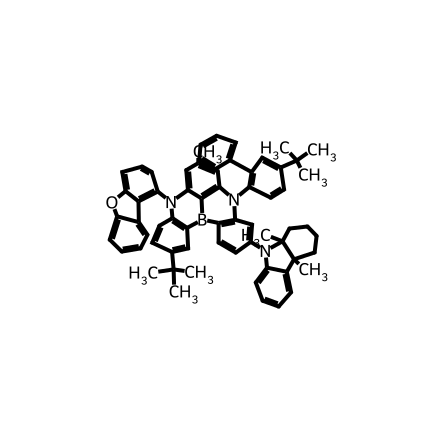 Cc1cc2c3c(c1)N(c1cccc4oc5ccccc5c14)c1ccc(C(C)(C)C)cc1B3c1ccc(N3c4ccccc4C4(C)CCCCC34C)cc1N2c1ccc(C(C)(C)C)cc1-c1ccccc1